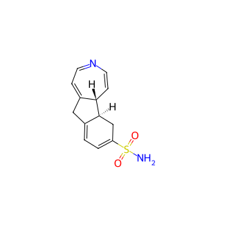 NS(=O)(=O)C1=CC=C2CC3=CC=NC=C[C@@H]3[C@H]2C1